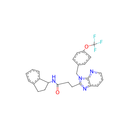 O=C(CCc1nc2cccnc2n1Cc1ccc(OC(F)(F)F)cc1)NC1CCc2ccccc21